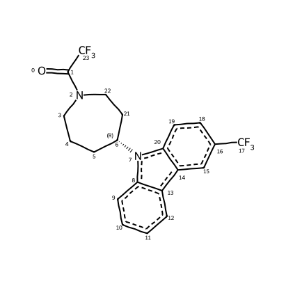 O=C(N1CCC[C@@H](n2c3ccccc3c3cc(C(F)(F)F)ccc32)CC1)C(F)(F)F